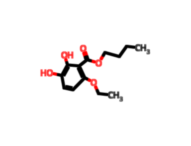 CCCCOC(=O)c1c(OCC)ccc(O)c1O